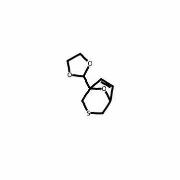 C1=CC2(C3OCCO3)CSCC1O2